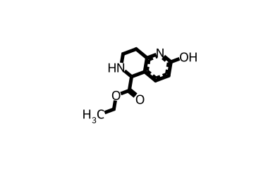 CCOC(=O)C1NCCc2nc(O)ccc21